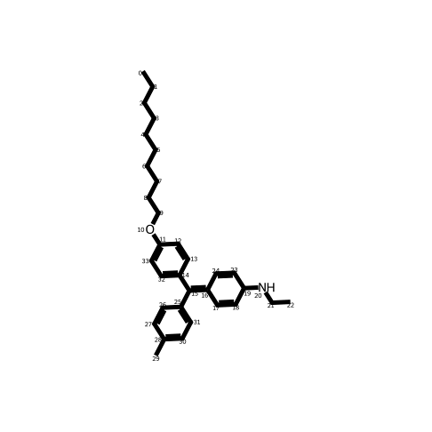 CCCCCCCCCCOc1ccc(C(=C2C=CC(NCC)C=C2)c2ccc(C)cc2)cc1